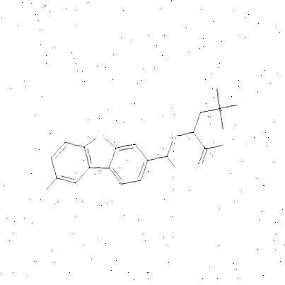 CCOC(=O)C(=O)C(CC(C)(C)F)NC(c1ccc2c(c1)oc1ccc(F)cc12)C(F)(F)F